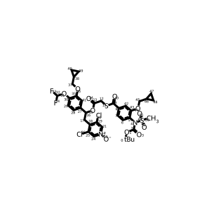 CC(C)(C)OC(=O)N(c1ccc(C(=O)SCC(=O)OC(Cc2c(Cl)c[n+]([O-])cc2Cl)c2ccc(OC(F)F)c(OCC3CC3)c2)cc1OCC1CC1)S(C)(=O)=O